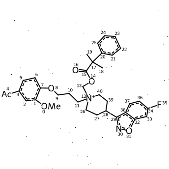 COc1cc(C(C)=O)ccc1OCCC[N+]1(COC(=O)C(C)(C)c2ccccc2)CCC(c2noc3cc(F)ccc23)CC1